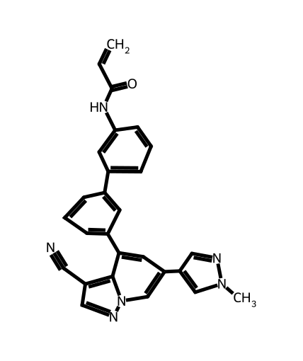 C=CC(=O)Nc1cccc(-c2cccc(-c3cc(-c4cnn(C)c4)cn4ncc(C#N)c34)c2)c1